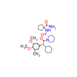 COc1cc([C@@H](C(=O)N2CCCC[C@H]2C(=O)NC2(C(N)=O)CCCC2)C2CCCCC2)cc(C)c1OC